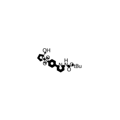 CC(C)(C)OC(=O)Nc1cccc(-c2ccc(S(=O)(=O)N3CCC[C@@H]3CO)cc2)n1